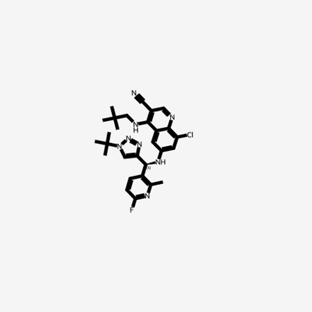 Cc1nc(F)ccc1[C@H](Nc1cc(Cl)c2ncc(C#N)c(NCC(C)(C)C)c2c1)c1cn(C(C)(C)C)nn1